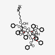 [N-]=[N+]=NCCCCCOC(O)/C(OCc1ccccc1)=C(\OC1OC([C@@H](COC(=O)c2ccccc2)OC(=O)c2ccccc2)C(OC2OC(COC(=O)c3ccccc3)C(OCc3ccccc3)C(O)C2OCc2ccccc2)C1OC(=O)c1ccccc1)C1CCOC(c2ccccc2)O1